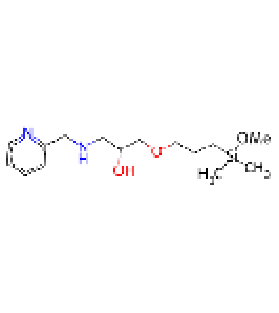 CO[Si](C)(C)CCCOCC(O)CNCc1ccccn1